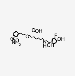 NS(=O)(=O)c1cccc(CCCOCCCCCCCNC[C@H](O)c2ccc(O)c(F)c2)c1.O=CO